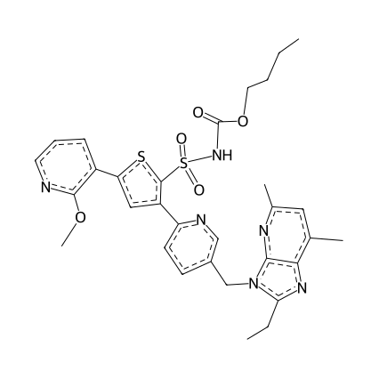 CCCCOC(=O)NS(=O)(=O)c1sc(-c2cccnc2OC)cc1-c1ccc(Cn2c(CC)nc3c(C)cc(C)nc32)cn1